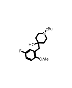 COc1ccc(F)cc1CC1(O)CCN(C(C)(C)C)CC1